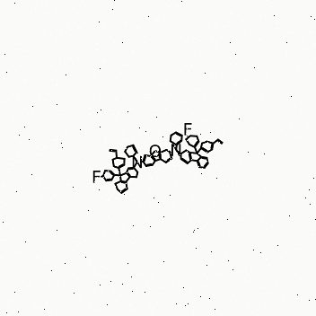 C=CC1=CC=C(C2(C3=CCC(F)CC3)C3=C(C=CC(N(C4=CC=CCC4)C4C=Cc5c(oc6cc(N(C7=CC8=C(CC7)C7=C(CCC=C7)C8(C7=CCC(F)C=C7)C7=CCC(C=C)CC7)C7C=CCCC7)ccc56)C4)C3)c3ccccc32)CC1